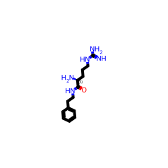 N=C(N)NCCC[C@H](N)C(=O)NCCc1ccccc1